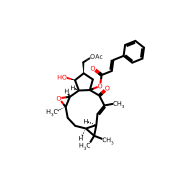 CC(=O)OC[C@H]1CC2(OC(=O)/C=C/c3ccccc3)C(=O)/C(C)=C/[C@@H]3[C@H](CC[C@@]4(C)O[C@@H]4[C@H]2[C@H]1O)C3(C)C